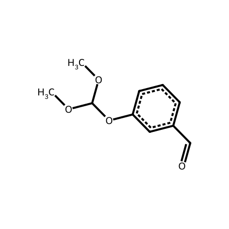 COC(OC)Oc1cccc(C=O)c1